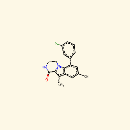 Cc1c2n(c3c(-c4cccc(F)c4)cc(C#N)cc13)CCNC2=O